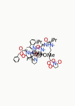 CC[C@H](C)[C@@H]([C@@H](CC(=O)N1CCC[C@H]1[C@H](OC)[C@@H](C)C(=O)N[C@@H](Cc1c[nH]c2ccccc12)C(=O)OCc1ccccc1)OC)N(C)C(=O)[C@@H](NC(=O)[C@H](C(C)C)N(C)CCCCCC(=O)ON1C(=O)CCC1=O)C(C)C